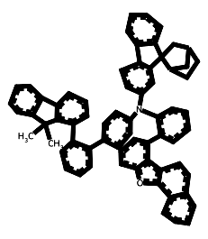 CC1(C)c2ccccc2-c2cccc(-c3ccccc3-c3ccc(N(c4ccc5c(c4)C4(CC6CCC4C6)c4ccccc4-5)c4ccccc4-c4cccc5oc6c7ccccc7ccc6c45)cc3)c21